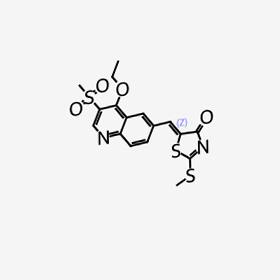 CCOc1c(S(C)(=O)=O)cnc2ccc(/C=C3\SC(SC)=NC3=O)cc12